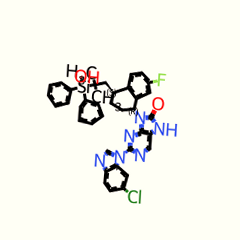 CC(C)(C[C@@H]1CC[C@@H](n2c(=O)[nH]c3cnc(-n4cnc5ccc(Cl)cc54)nc32)c2cc(F)ccc21)[Si](O)(c1ccccc1)c1ccccc1